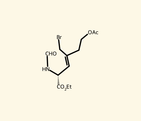 CCOC(=O)[C@@H](C=C(CBr)CCOC(C)=O)NC=O